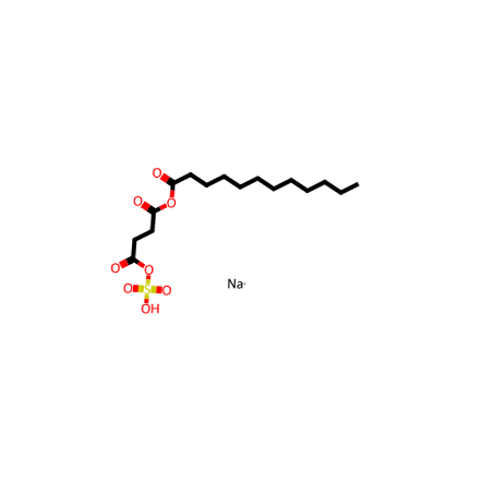 CCCCCCCCCCCC(=O)OC(=O)CCC(=O)OS(=O)(=O)O.[Na]